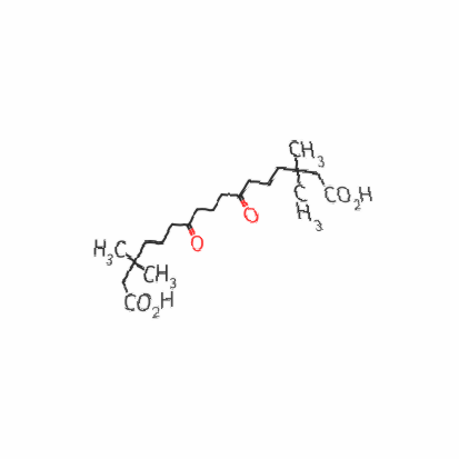 CC(C)(CCCC(=O)CCCC(=O)CCCC(C)(C)CC(=O)O)CC(=O)O